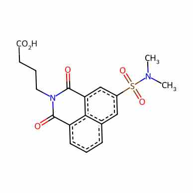 CN(C)S(=O)(=O)c1cc2c3c(cccc3c1)C(=O)N(CCCC(=O)O)C2=O